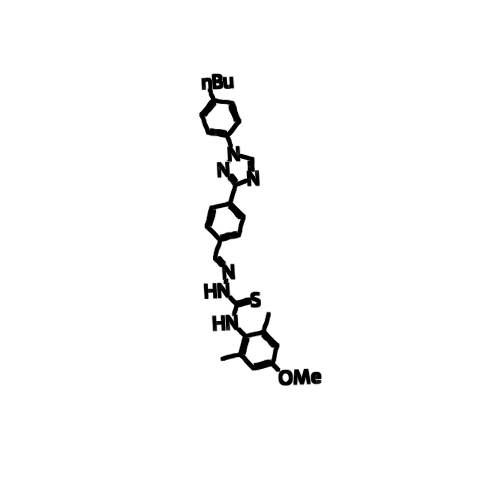 CCCCc1ccc(-n2cnc(-c3ccc(/C=N/NC(=S)Nc4c(C)cc(OC)cc4C)cc3)n2)cc1